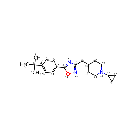 CC(C)(C)c1ccc(-c2nc(CC3CCN(C4CC4)CC3)no2)cc1